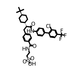 CC(C)(C)[C@H]1CC[C@H](C(Cc2ccc(C(=O)NCCS(=O)(=O)O)cc2)C(=O)Nc2ccc(-c3ccc(C(F)(F)F)cc3Cl)cc2)CC1